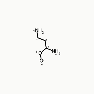 NCCC(N)O[O]